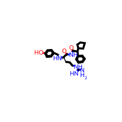 N=C(N)NCCC[C@@H](NCc1ccc(O)cc1)C(=O)NC(=O)C(c1ccccc1)C1CCCC1